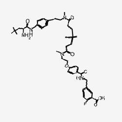 CN(CCOc1ccc(C(=O)NCc2ccc(F)c(C(=O)O)c2)cc1)C(=O)CCC(C)(C)CCC(=O)N(C)CCc1ccc(NC(=O)C(N)CC(C)(C)C)cc1